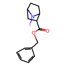 O=C(OCc1ccccc1)C1CC2CCC1N2I